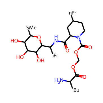 CCCC1CCN(C(=O)OCOC(=O)C(N)C(C)CC)C(C(=O)NC(C(C)C)C2OC(SC)C(O)C(O)C2O)C1